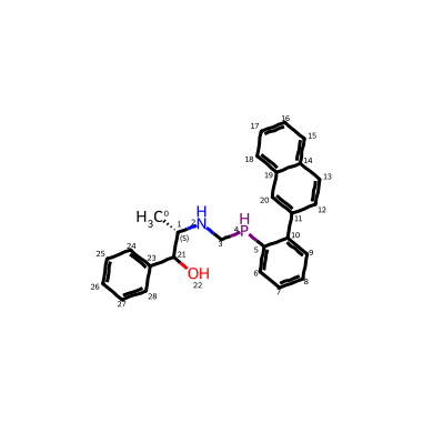 C[C@H](NCPc1ccccc1-c1ccc2ccccc2c1)C(O)c1ccccc1